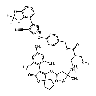 CCN(CC)C(=O)SCc1ccc(Cl)cc1.Cc1cc(C)c(C2=C(OC(=O)CC(C)(C)C)C3(CCCC3)OC2=O)c(C)c1.N#Cc1c[nH]cc1-c1cccc2c1OC(F)(F)O2